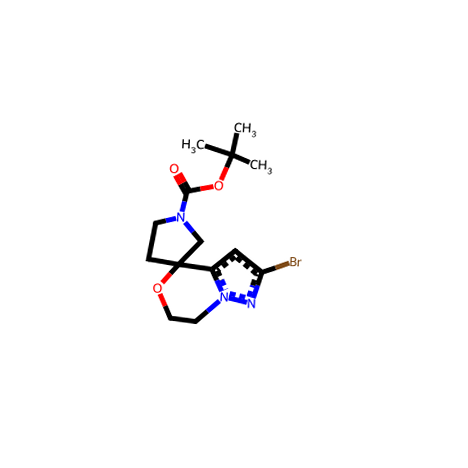 CC(C)(C)OC(=O)N1CCC2(C1)OCCn1nc(Br)cc12